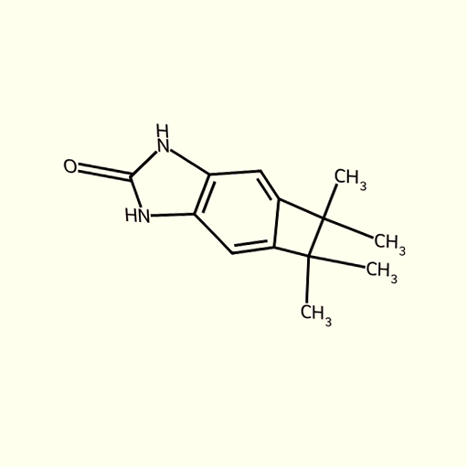 CC1(C)c2cc3[nH]c(=O)[nH]c3cc2C1(C)C